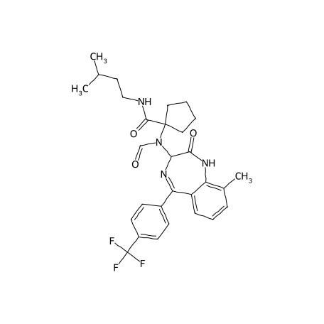 Cc1cccc2c1NC(=O)C(N(C=O)C1(C(=O)NCCC(C)C)CCCC1)N=C2c1ccc(C(F)(F)F)cc1